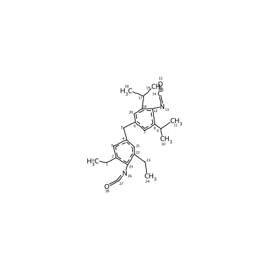 CCc1cc(Cc2cc(C(C)C)c(N=C=O)c(C(C)C)c2)cc(CC)c1N=C=O